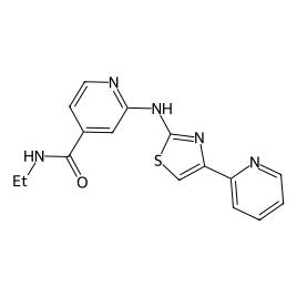 CCNC(=O)c1ccnc(Nc2nc(-c3ccccn3)cs2)c1